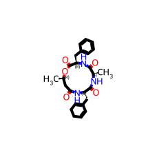 C[C@@H]1CC(=O)N[C@@H](CC2=CCCC=C2)C(=O)N[C@@H](C)C(=O)N[C@H](Cc2ccccc2)C(=O)O1